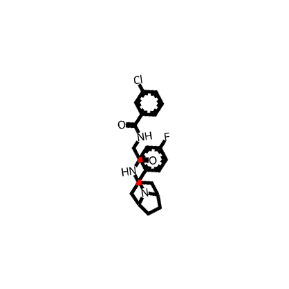 O=C(CNC(=O)c1cccc(Cl)c1)NC1CC2CCC(C1)N2Cc1ccc(F)cc1